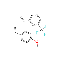 C=Cc1ccc(OC)cc1.C=Cc1cccc(C(F)(F)F)c1